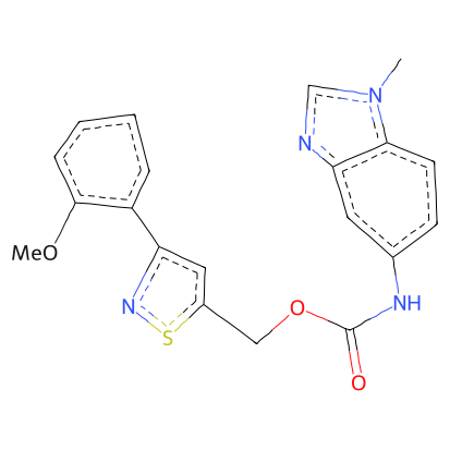 COc1ccccc1-c1cc(COC(=O)Nc2ccc3c(c2)ncn3C)sn1